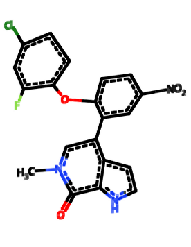 Cn1cc(-c2cc([N+](=O)[O-])ccc2Oc2ccc(Cl)cc2F)c2cc[nH]c2c1=O